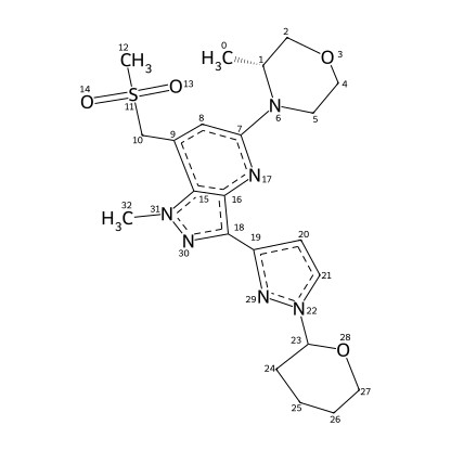 C[C@@H]1COCCN1c1cc(CS(C)(=O)=O)c2c(n1)c(-c1ccn(C3CCCCO3)n1)nn2C